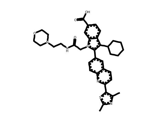 Cc1nc(C)c(-c2ccc3cc(-c4c(C5CCCCC5)c5ccc(C(=O)O)cc5n4CC(=O)NCCN4CCOCC4)ccc3n2)s1